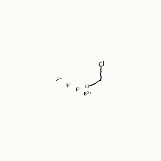 ClCCl.[B+3].[F-].[F-].[F-]